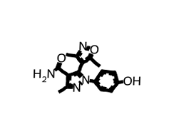 Cc1nn(-c2ccc(O)cc2)c(-c2c(C)noc2C)c1C(N)=O